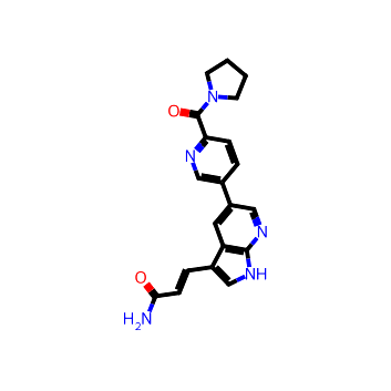 NC(=O)C=Cc1c[nH]c2ncc(-c3ccc(C(=O)N4CCCC4)nc3)cc12